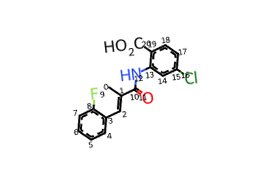 CC(=Cc1ccccc1F)C(=O)Nc1cc(Cl)ccc1C(=O)O